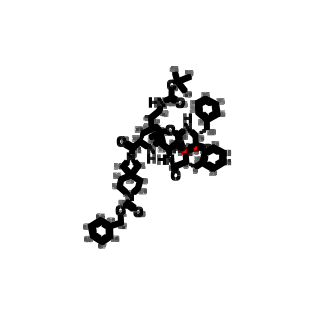 CC(C)CC(NC(=O)[C@@H](Cc1ccccc1)NC(=O)[C@@H](Cc1ccccc1)NC(=O)OC(C)(C)C)C(=O)N[C@H](CCCCNC(=O)OC(C)(C)C)C(=O)N1CC2(CCN(C(=O)OCc3ccccc3)CC2)C1